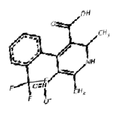 CC1=C([N+](=O)[O-])C(c2ccccc2C(F)(F)F)=C(C(=O)O)C(C)N1